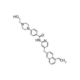 C=Cc1cccc2cc(Cc3ccnc(NC(=O)c4ccc(N5CCN(CCO)CC5)cc4)c3)ccc12